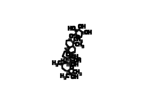 C[C@@H]1CC[C@H](C(C)(C)O)O[C@@]2(O)[C@H]1[C@@]1(C)CC[C@@]34C[C@@]35CC[C@H](O[C@@H]3OC[C@@H](O)C(O)[C@@H]3O)C(C)(C)C5CC=C4[C@]1(C)[C@H]2O